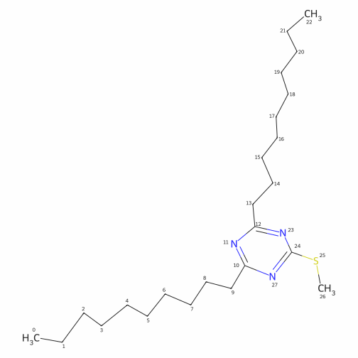 CCCCCCCCCCc1nc(CCCCCCCCCC)nc(SC)n1